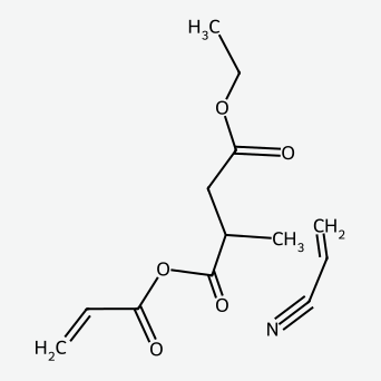 C=CC#N.C=CC(=O)OC(=O)C(C)CC(=O)OCC